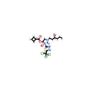 CCCC(Br)CCN1CC(OC(=O)C2CCC2)[N+]([O-])(c2nnc(C(Cl)(Cl)Cl)s2)C1